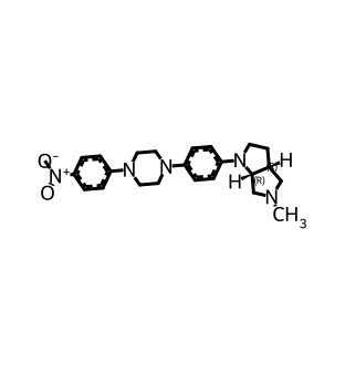 CN1C[C@H]2CCN(c3ccc(N4CCN(c5ccc([N+](=O)[O-])cc5)CC4)cc3)[C@H]2C1